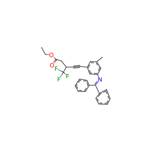 CCOC(=O)CC(C#Cc1cc(C)cc(N=C(c2ccccc2)c2ccccc2)c1)C(F)(F)F